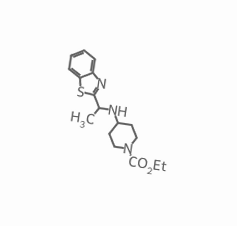 CCOC(=O)N1CCC(NC(C)c2nc3ccccc3s2)CC1